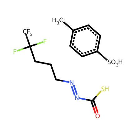 Cc1ccc(S(=O)(=O)O)cc1.O=C(S)/N=N/CCCC(F)(F)C(F)(F)F